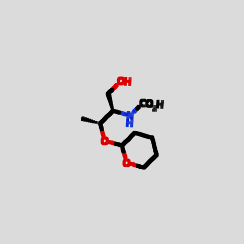 C[C@@H](OC1CCCCO1)[C@@H](CO)NC(=O)O